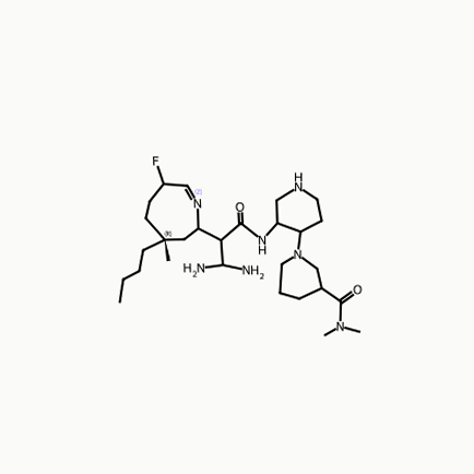 CCCC[C@]1(C)CCC(F)/C=N\C(C(C(=O)NC2CNCCC2N2CCCC(C(=O)N(C)C)C2)C(N)N)C1